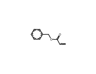 C=CC(=O)OCc1cc[c]cc1